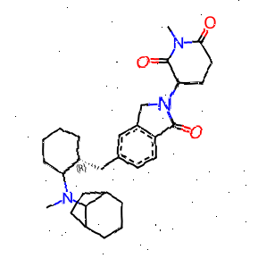 CN1C(=O)CCC(N2Cc3cc(C[C@H]4CCCCC4N(C)C4C5CCCC4CC5)ccc3C2=O)C1=O